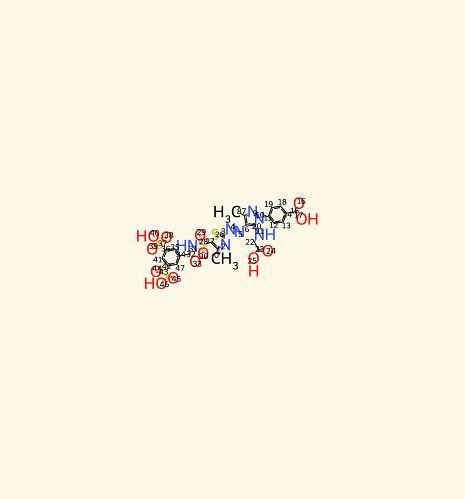 Cc1nc(N=Nc2c(C)nn(-c3ccc(C(=O)O)cc3)c2NCC(=O)O)sc1S(=O)(=O)NC(=O)c1cc(S(=O)(=O)O)cc(S(=O)(=O)O)c1